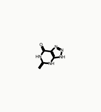 C=C1NC(=O)c2nn[nH]c2N1